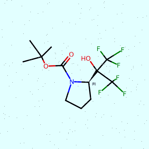 CC(C)(C)OC(=O)N1CCC[C@@H]1C(O)(C(F)(F)F)C(F)(F)F